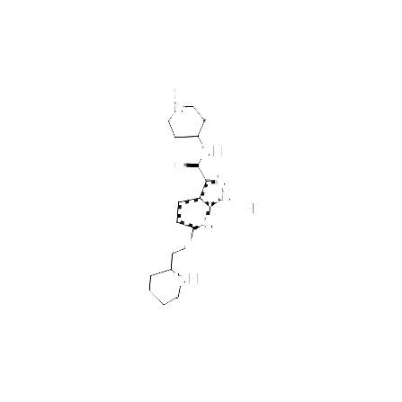 Cn1nc(C(=O)NC2CCNCC2)c2ccc(OCC3CCCCN3)nc21